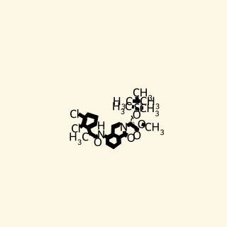 COC(=O)[C@@H](CO[Si](C)(C)C(C)(C)C)n1ccc2c(NC(=O)C(C)c3cccc(Cl)c3Cl)cccc2c1=O